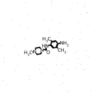 Cc1cc(NC(=O)N2CCN(C)CC2)c(C)cc1N